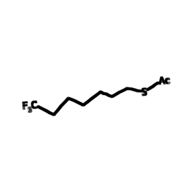 CC(=O)SCCCCCCC(F)(F)F